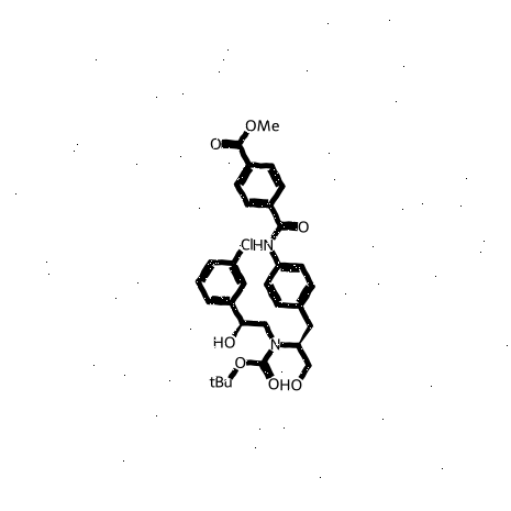 COC(=O)c1ccc(C(=O)Nc2ccc(C[C@@H](CO)N(C[C@@H](O)c3cccc(Cl)c3)C(=O)OC(C)(C)C)cc2)cc1